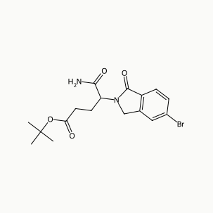 CC(C)(C)OC(=O)CCC(C(N)=O)N1Cc2cc(Br)ccc2C1=O